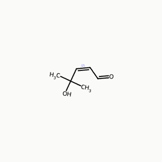 CC(C)(O)/C=C\C=O